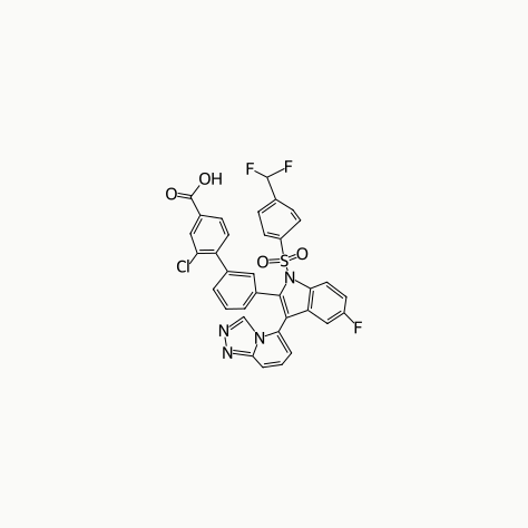 O=C(O)c1ccc(-c2cccc(-c3c(-c4cccc5nncn45)c4cc(F)ccc4n3S(=O)(=O)c3ccc(C(F)F)cc3)c2)c(Cl)c1